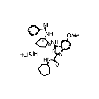 COc1ccc2nc(C(=O)NC3CCCCCC3)nc(N[C@H]3CCCC[C@H]3NC(=N)c3ccccc3)c2c1.Cl.Cl